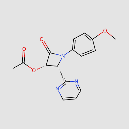 COc1ccc(N2C(=O)[C@@H](OC(C)=O)[C@H]2c2ncccn2)cc1